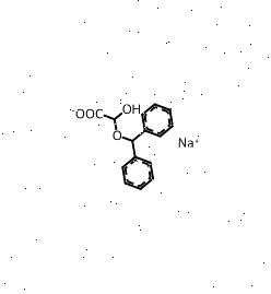 O=C([O-])C(O)OC(c1ccccc1)c1ccccc1.[Na+]